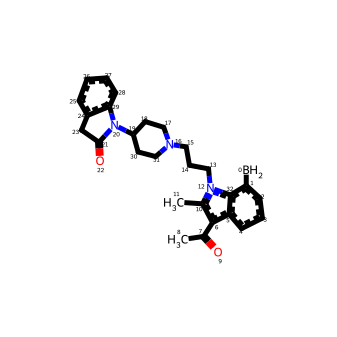 Bc1cccc2c(C(C)=O)c(C)n(CCCN3CCC(N4C(=O)Cc5ccccc54)CC3)c12